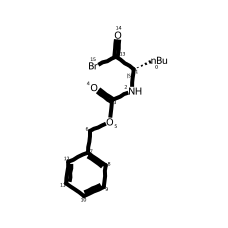 CCCC[C@H](NC(=O)OCc1ccccc1)C(=O)Br